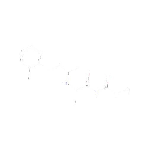 Cc1ccccc1SCC(C)N[C@H](C(=O)NC(=O)OC(C)C)C(C)C